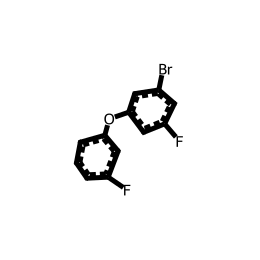 Fc1cccc(Oc2cc(F)cc(Br)c2)c1